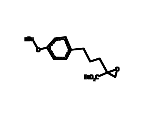 CCCCOc1ccc(CCCC2(C(=O)OCC)CO2)cc1